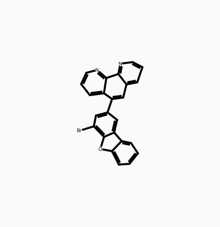 Brc1cc(-c2cc3cccnc3c3ncccc23)cc2c1oc1ccccc12